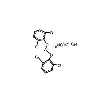 Cl.Cl.Cl.Cl.Clc1cccc(Cl)c1[O][W][O]c1c(Cl)cccc1Cl